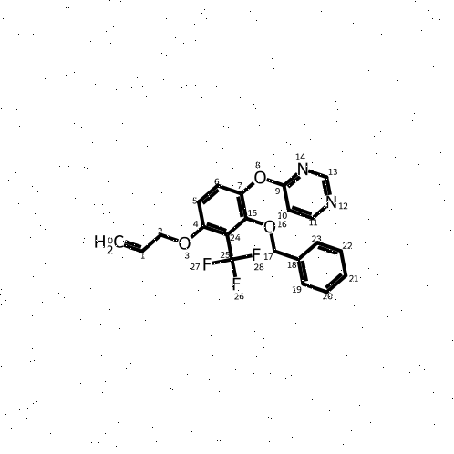 C=CCOc1ccc(Oc2ccncn2)c(OCc2ccccc2)c1C(F)(F)F